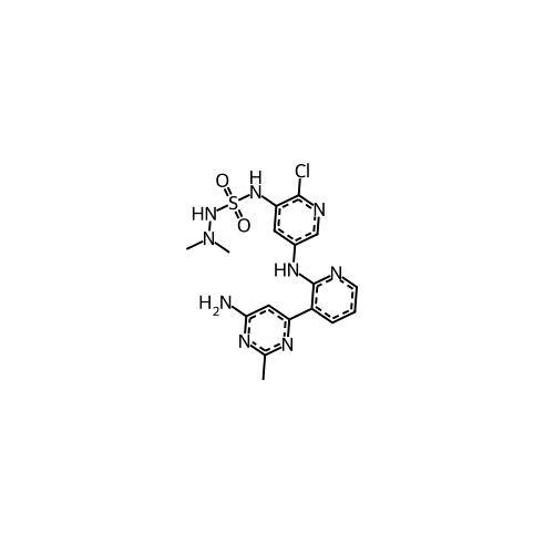 Cc1nc(N)cc(-c2cccnc2Nc2cnc(Cl)c(NS(=O)(=O)NN(C)C)c2)n1